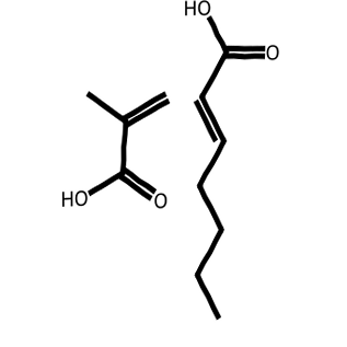 C=C(C)C(=O)O.CCCCC=CC(=O)O